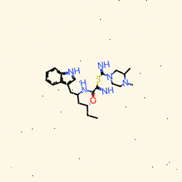 CCCCC(Cc1c[nH]c2ccccc12)NC(=O)C(=N)SC(=N)N1CCN(C)C(C)C1